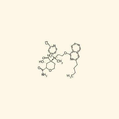 CCCCc1cc2ccccc2c(OCC[N+](C)(C)[C@@]2(C(=O)c3ccnc(Cl)c3)CCOC(C(N)=O)[C@@H]2O)n1